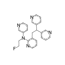 FCCN(c1cccnc1)c1ncccc1CC(c1cccnc1)c1cccnc1